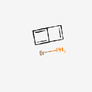 PBr.c1cc2ccc1-2